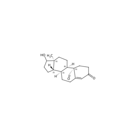 C[C@]12CC[C@@H]3[C@@H](CCC4=CC(=O)CC[C@@]43C=O)[C@@H]1CCC2O